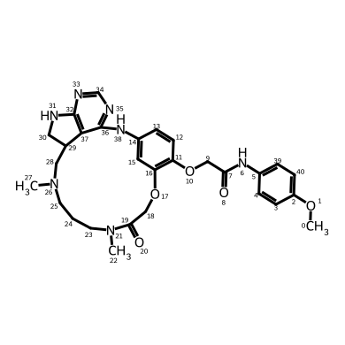 COc1ccc(NC(=O)COc2ccc3cc2OCC(=O)N(C)CCCN(C)CC2CNc4ncnc(c42)N3)cc1